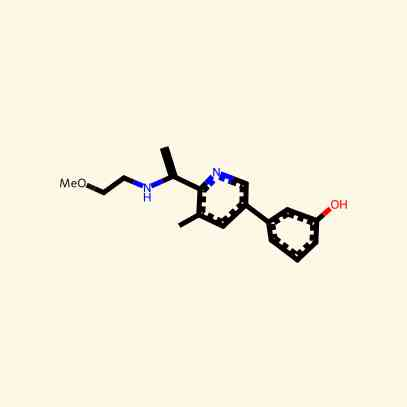 C=C(NCCOC)c1ncc(-c2cccc(O)c2)cc1C